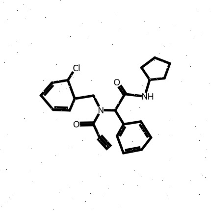 C#CC(=O)N(CC1C=CC=CC1Cl)C(C(=O)NC1CCCC1)c1ccccc1